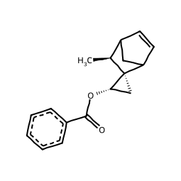 C[C@H]1C2C=CC(C2)[C@]12C[C@@H]2OC(=O)c1ccccc1